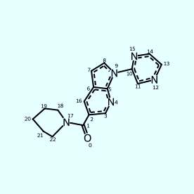 O=C(c1cnc2c(ccn2-c2cnccn2)c1)N1CCCCC1